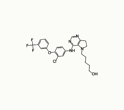 OCCCCCN1CCc2ncnc(Nc3ccc(Oc4cccc(C(F)(F)F)c4)c(Cl)c3)c21